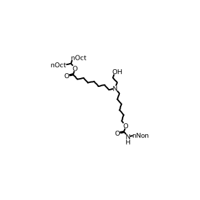 CCCCCCCCCNC(=O)OCCCCCCN(CCO)CCCCCCCC(=O)OC(CCCCCCCC)CCCCCCCC